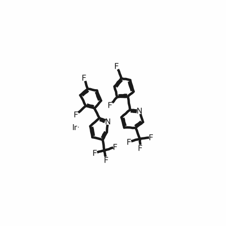 Fc1ccc(-c2ccc(C(F)(F)F)cn2)c(F)c1.Fc1ccc(-c2ccc(C(F)(F)F)cn2)c(F)c1.[Ir]